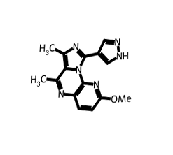 COc1ccc2nc(C)c3c(C)nc(-c4cn[nH]c4)n3c2n1